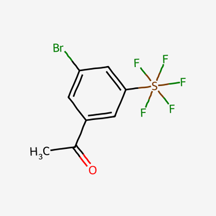 CC(=O)c1cc(Br)cc(S(F)(F)(F)(F)F)c1